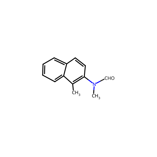 Cc1c(N(C)C=O)ccc2ccccc12